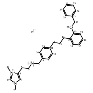 Cn1cc(CCNCc2ccc(CCCc3ccccc3OCc3ccccc3)cc2)[n+](C)c1.[I-]